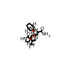 NC(=O)c1cc(OC2CCNC2=O)nc(N2[C@@H]3CC[C@H]2CC(Oc2ccc(C(F)(F)F)cn2)C3)n1